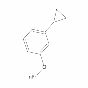 CCCOc1c[c]cc(C2CC2)c1